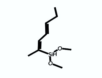 CCC=CC=C(C)[SiH](OC)OC